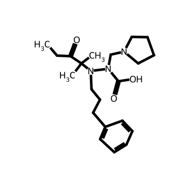 CCC(=O)C(C)(C)N(CCCc1ccccc1)N(CN1CCCC1)C(=O)O